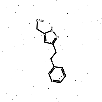 COCc1cc(CCc2ccccc2)n[nH]1